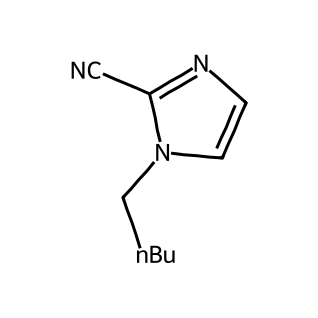 CCCCCn1ccnc1C#N